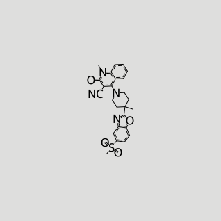 Cn1c(=O)c(C#N)c(N2CCC(C)(c3nc4cc(S(C)(=O)=O)ccc4o3)CC2)c2ccccc21